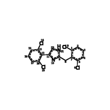 Clc1cccc(Cl)c1Cc1nc(-c2c(Cl)cccc2Cl)c[nH]1